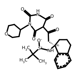 CC(C)(C)[S+]([O-])N[C@@]1(CC(=O)C2C(=O)NC(=O)N(C3CCOCC3)C2=O)CCCc2ccccc21